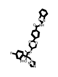 C[C@@H](SC1COC(c2ccc(C(=O)Nc3nc4ccccc4s3)cc2)OC1)[C@](O)(Cn1cncn1)c1ccc(F)cc1F